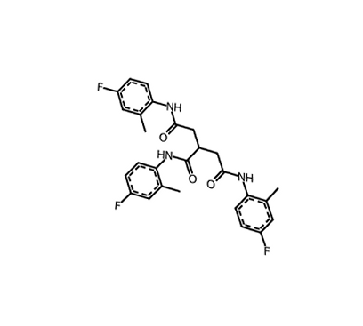 Cc1cc(F)ccc1NC(=O)CC(CC(=O)Nc1ccc(F)cc1C)C(=O)Nc1ccc(F)cc1C